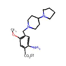 CCOC(=O)c1cc(OC(F)(F)F)c(CN2CCC(N3CCCC3)CC2)cc1N